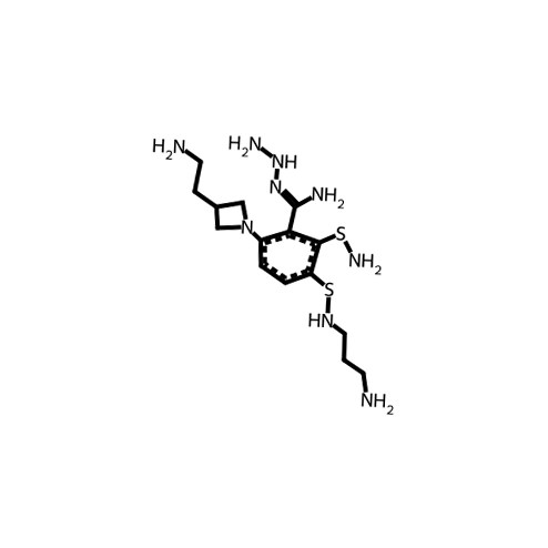 NCCCNSc1ccc(N2CC(CCN)C2)c(/C(N)=N/NN)c1SN